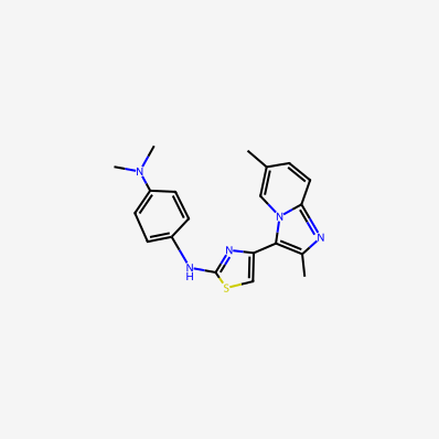 Cc1ccc2nc(C)c(-c3csc(Nc4ccc(N(C)C)cc4)n3)n2c1